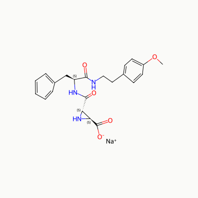 COc1ccc(CCNC(=O)[C@H](Cc2ccccc2)NC(=O)[C@H]2N[C@@H]2C(=O)[O-])cc1.[Na+]